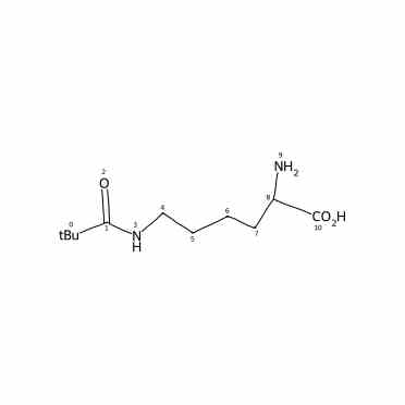 CC(C)(C)C(=O)NCCCCC(N)C(=O)O